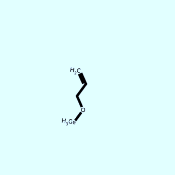 C=CC[O][GeH3]